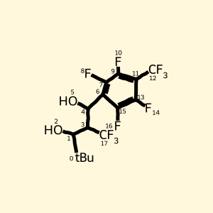 CC(C)(C)C(O)C(C(O)c1c(F)c(F)c(C(F)(F)F)c(F)c1F)C(F)(F)F